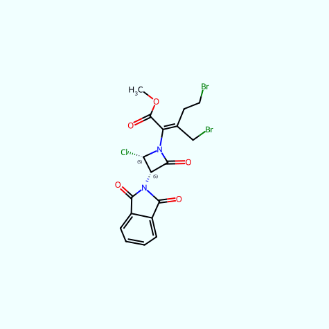 COC(=O)C(=C(CBr)CCBr)N1C(=O)[C@H](N2C(=O)c3ccccc3C2=O)[C@@H]1Cl